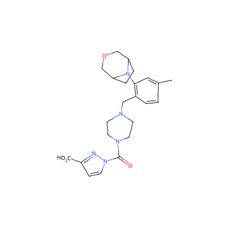 Cc1ccc(CN2CCN(C(=O)n3ccc(C(=O)O)n3)CC2)c(N2C3CCC2COC3)c1